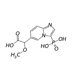 COC(C(=O)O)c1ccc2ncc(P(=O)(O)O)n2c1